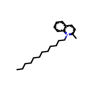 CCCCCCCCCCCC[n+]1c(C)ccc2ccccc21